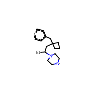 CCC(CC1(Cc2ccccc2)CCC1)N1CC[N]CC1